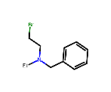 CCN(CCBr)Cc1ccccc1